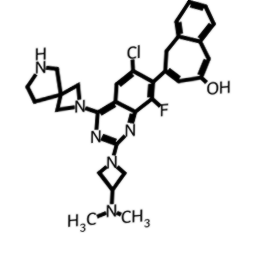 CN(C)C1CN(c2nc(N3CC4(CCNC4)C3)c3cc(Cl)c(C4=CC(O)=Cc5ccccc5C4)c(F)c3n2)C1